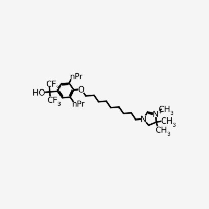 CCCc1cc(C(O)(C(F)(F)F)C(F)(F)F)cc(CCC)c1OCCCCCCCCCN1C=[N+](C)C(C)(C)C1